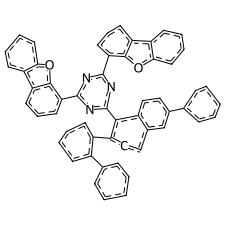 c1ccc(-c2ccc3c(-c4nc(-c5cccc6c5oc5ccccc56)nc(-c5cccc6c5oc5ccccc56)n4)c(-c4ccccc4-c4ccccc4)ccc3c2)cc1